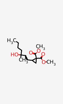 CCCCC(C)(O)C=CC1CC1(C(=O)OC)C(=O)OC